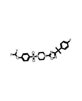 CC(C)(c1ccc(F)cc1)c1noc(N2CCN(S(=O)(=O)c3ccc(OC(F)F)cc3)CC2)n1